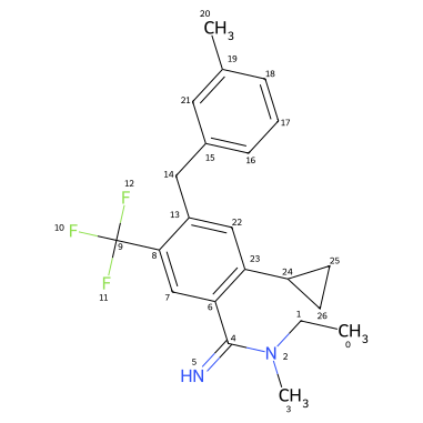 CCN(C)C(=N)c1cc(C(F)(F)F)c(Cc2cccc(C)c2)cc1C1CC1